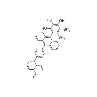 Bc1c(B)c(-c2c(C=C)c(C=C)c(-c3ccc(C4=CC=CC(C=C)C4C=C)cc3)c3ccccc23)c(O)c(O)c1O